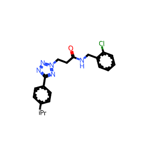 CC(C)c1ccc(-c2nnn(CCC(=O)NCc3ccccc3Cl)n2)cc1